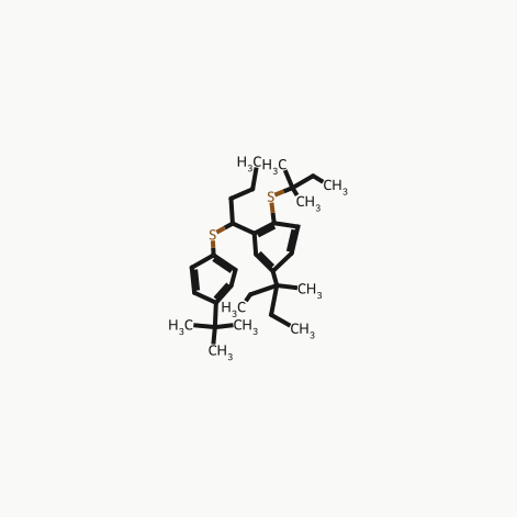 CCCC(Sc1ccc(C(C)(C)C)cc1)c1cc(C(C)(CC)CC)ccc1SC(C)(C)CC